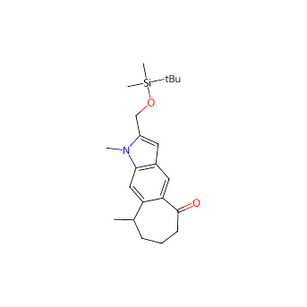 CC1CCCC(=O)c2cc3cc(CO[Si](C)(C)C(C)(C)C)n(C)c3cc21